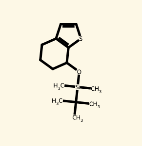 CC(C)(C)[Si](C)(C)OC1CCCc2ccsc21